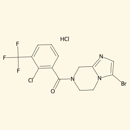 Cl.O=C(c1cccc(C(F)(F)F)c1Cl)N1CCn2c(Br)cnc2C1